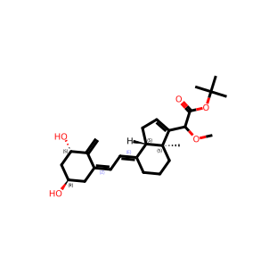 C=C1/C(=C\C=C2/CCC[C@]3(C)C(C(OC)C(=O)OC(C)(C)C)=CC[C@@H]23)C[C@@H](O)C[C@@H]1O